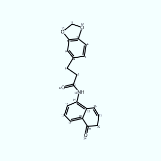 O=C(CCc1ccc2c(c1)OCO2)Nc1cccc2c1C=CCC2=O